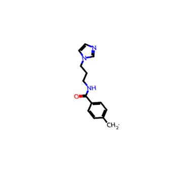 [CH2]c1ccc(C(=O)NCCCn2ccnc2)cc1